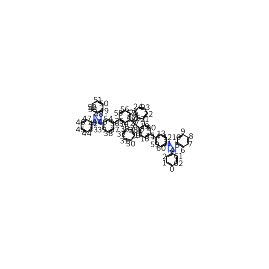 c1ccc(N(c2ccccc2)c2ccc(-c3ccc4c(c3)-c3ccccc3C43c4ccccc4-c4c(-c5cccc(N(c6ccccc6)c6ccccc6)c5)cccc43)cc2)cc1